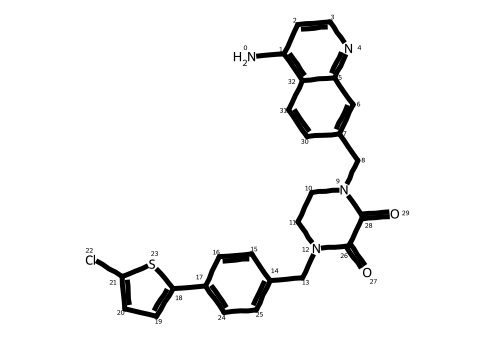 Nc1ccnc2cc(CN3CCN(Cc4ccc(-c5ccc(Cl)s5)cc4)C(=O)C3=O)ccc12